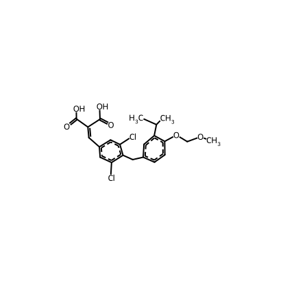 COCOc1ccc(Cc2c(Cl)cc(C=C(C(=O)O)C(=O)O)cc2Cl)cc1C(C)C